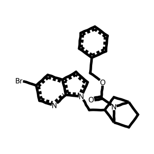 O=C(OCc1ccccc1)N1C2CCC1C(Cn1ccc3cc(Br)cnc31)C2